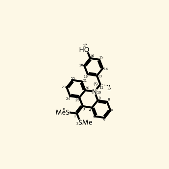 CSC(SC)=C1c2ccccc2N([C@@H](C)c2ccc(O)cc2)c2ccccc21